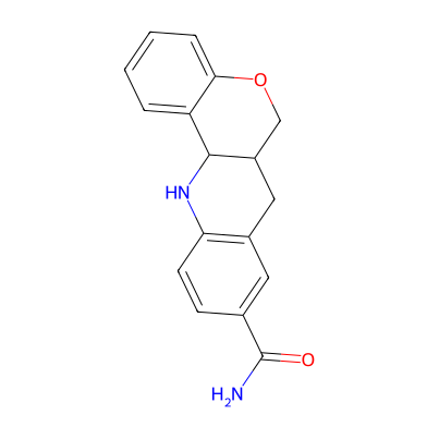 NC(=O)c1ccc2c(c1)CC1COc3ccccc3C1N2